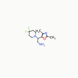 Cc1nc(C)c(C(CN)N2CCC(F)(F)CC2)o1